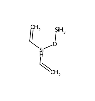 C=C[SiH](C=C)O[SiH3]